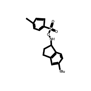 Cc1ccc(S(=O)(=O)ONC2CCc3cc(C(C)(C)C)ccc32)cc1